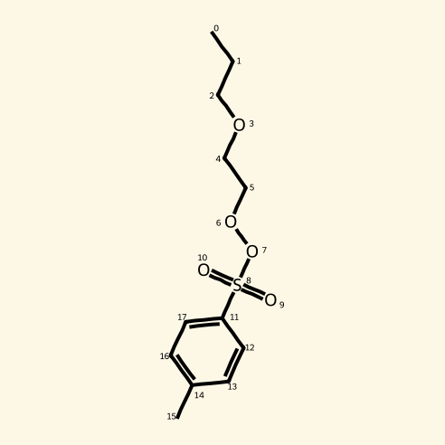 CCCOCCOOS(=O)(=O)c1ccc(C)cc1